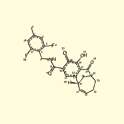 Cc1cc(F)c(CNC(=O)c2cn3c(c(O)c2=O)C(=O)N2CCC=C[C@H]3C2)c(F)c1